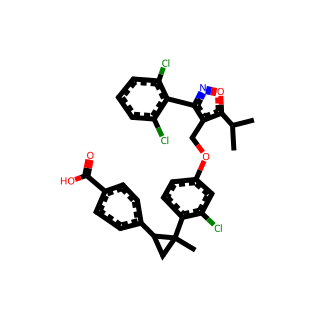 CC(C)c1onc(-c2c(Cl)cccc2Cl)c1COc1ccc(C2(C)CC2c2ccc(C(=O)O)cc2)c(Cl)c1